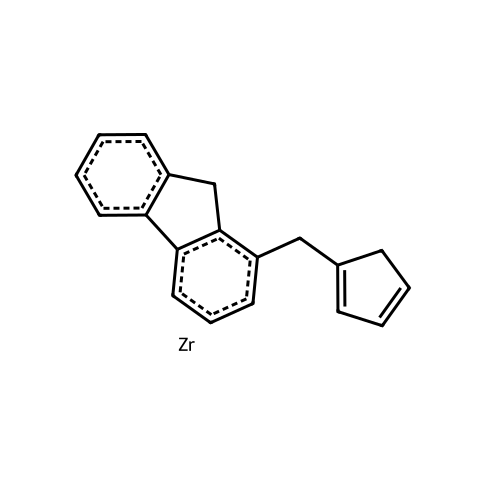 C1=CCC(Cc2cccc3c2Cc2ccccc2-3)=C1.[Zr]